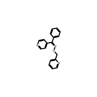 c1ccc(C(=NOCc2ccccn2)c2ccncc2)cc1